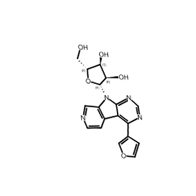 OC[C@H]1O[C@@H](n2c3cnccc3c3c(-c4ccoc4)ncnc32)[C@H](O)[C@@H]1O